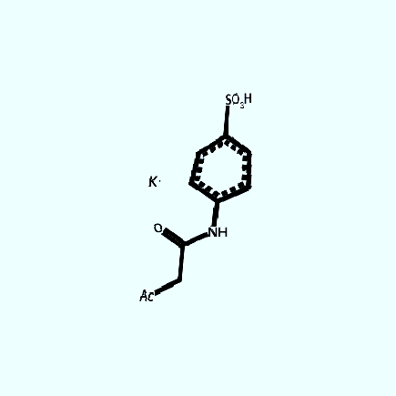 CC(=O)CC(=O)Nc1ccc(S(=O)(=O)O)cc1.[K]